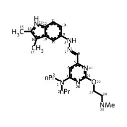 CCCN(CCC)c1cc(/C=N/Nc2ccc3[nH]c(C)c(C)c3c2)nc(OCCNC)n1